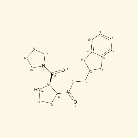 O=C(CCC1Cc2ccccc2C1)C1CCN[C@H]1C(=O)N1CCCC1